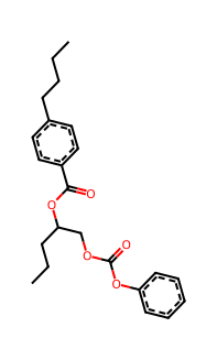 CCCCc1ccc(C(=O)OC(CCC)COC(=O)Oc2ccccc2)cc1